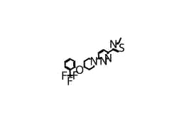 Cc1nc(-c2ccc(N3CCC(Oc4ccccc4C(F)(F)F)CC3)nn2)cs1